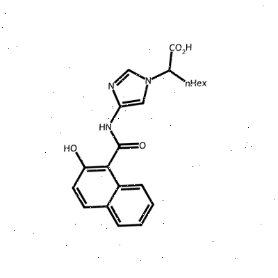 CCCCCCC(C(=O)O)n1cnc(NC(=O)c2c(O)ccc3ccccc23)c1